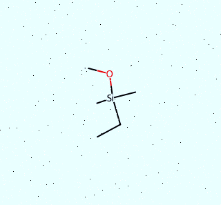 [CH2]O[Si](C)(C)CC